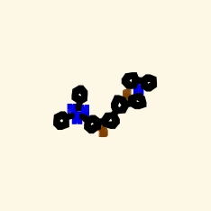 c1ccc(-c2nc(-c3ccccc3)nc(-c3ccc4sc5ccc(-c6ccc7sc8c(-n9c%10ccccc%10c%10ccccc%109)cccc8c7c6)cc5c4c3)n2)cc1